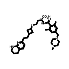 Cc1cc(CN2CCN(C)CC2)cc(C)c1C(=O)N[C@@H](CCOC1CC(CCc2ccc3c(n2)NCCC3)C1)C(=O)O